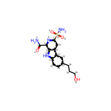 NC(=O)c1nc(S(N)(=O)=O)cc2c1[nH]c1ccc(CCCO)cc12